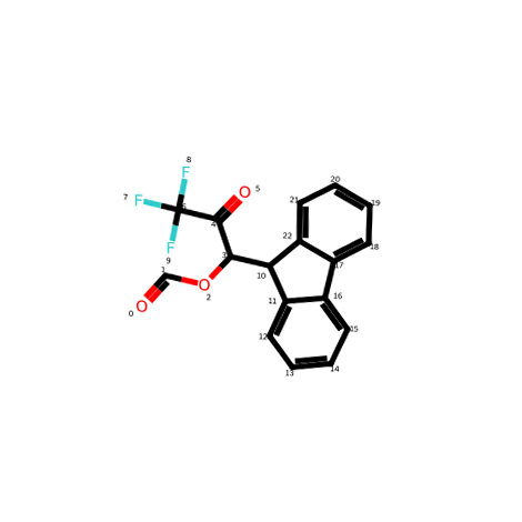 O=[C]OC(C(=O)C(F)(F)F)C1c2ccccc2-c2ccccc21